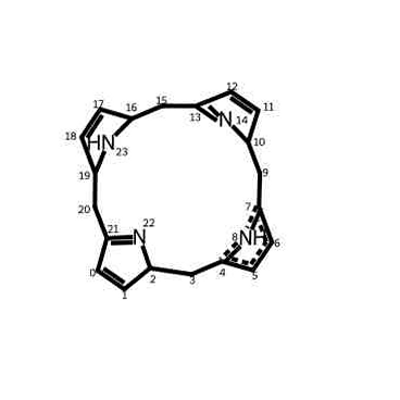 C1=CC2Cc3ccc([nH]3)CC3C=CC(=N3)CC3C=CC(CC1=N2)N3